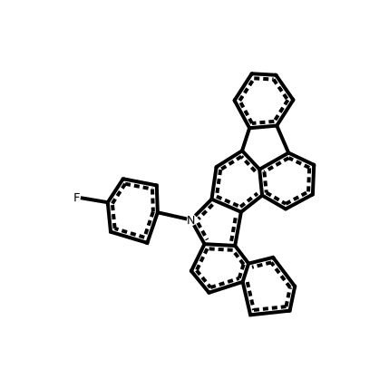 Fc1ccc(-n2c3ccc4ccccc4c3c3c4cccc5c4c(cc32)-c2ccccc2-5)cc1